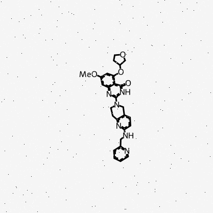 COc1cc(OC2CCOC2)c2c(=O)[nH]c(N3CCc4nc(NCc5ccccn5)ccc4C3)nc2c1